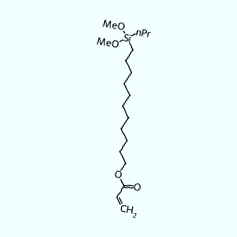 C=CC(=O)OCCCCCCCCCCC[Si](CCC)(OC)OC